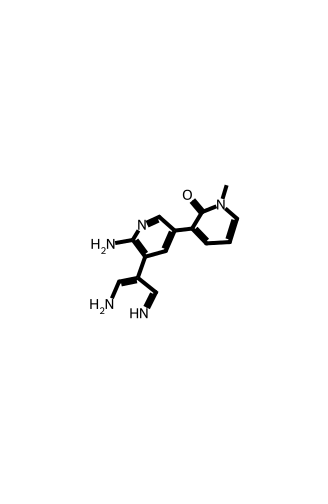 Cn1cccc(-c2cnc(N)c(/C(C=N)=C/N)c2)c1=O